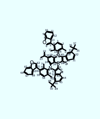 Cc1ccc(-c2coc3ccccc23)c(C)c1N1c2cc(C(C)C)cc3c2B(c2sc4ccc(C(C)(C)C)cc4c21)c1sc2ccc(C(C)(C)C)cc2c1N3c1c(C)ccc(-c2coc3ccccc23)c1C